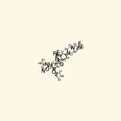 N#CC1(NC(=O)[C@@H]2C[C@@H](S(=O)(=O)c3ccc(N4CCN(CC(F)(F)F)CC4)cc3C(F)(F)F)C[C@H]2OC2CCCC2)CC1